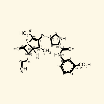 C[C@H]1C(S[C@@H]2CN[C@H](C(=O)Nc3cccc(C(=O)O)c3)C2)=C(C(=O)O)N2C(=O)[C@@H](CCO)[C@@H]12